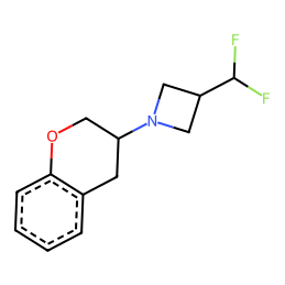 FC(F)C1CN(C2COc3ccccc3C2)C1